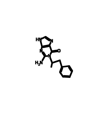 CC(Cc1ccccc1)n1c(N)nc2[nH]cnc2c1=O